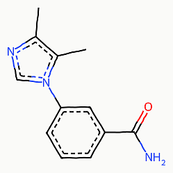 Cc1ncn(-c2cccc(C(N)=O)c2)c1C